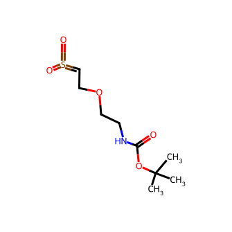 CC(C)(C)OC(=O)NCCOCC=S(=O)=O